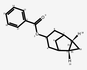 O=C(OC1CC2CC(C1)[C@@H]1C[C@H]21)c1ccccc1